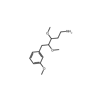 COc1cccc(CC(OC)C(CCN)OC)c1